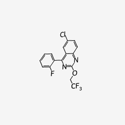 Fc1ccccc1-c1nc(OCC(F)(F)F)nc2ccc(Cl)cc12